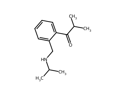 CC(C)NCc1ccccc1C(=O)C(C)C